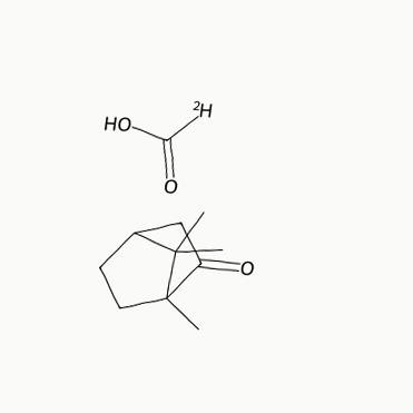 CC12CCC(CC1=O)C2(C)C.[2H]C(=O)O